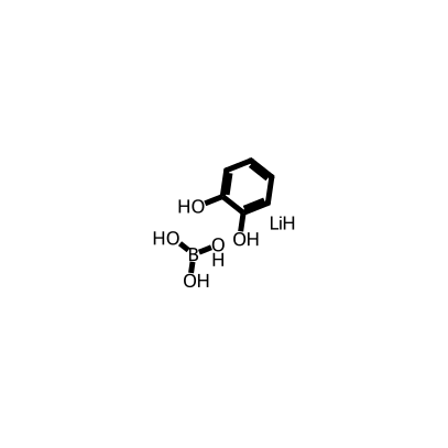 OB(O)O.Oc1ccccc1O.[LiH]